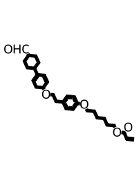 C=CC(=O)OCCCCCCOc1ccc(CCOC2C=CC(C3CCC(C=O)CC3)=CC2)cc1